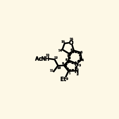 CCc1nn2ccc3c(c2c1C(C)CNC(C)=O)CCO3